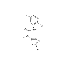 Cc1ccc(Cl)c(NC(=O)N(C)c2nnc(Br)s2)c1